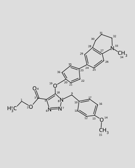 CCOC(=O)c1nnn(Cc2ccc(OC)cc2)c1Oc1ccc(-c2ccc3c(c2)CCCN3C)cc1